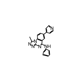 Cc1nnc2nc(Nc3ccccc3)c3cc(-c4ccncc4)ccc3n12